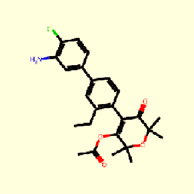 CCc1cc(-c2ccc(Cl)c(N)c2)ccc1C1=C(OC(C)=O)C(C)(C)OC(C)(C)C1=O